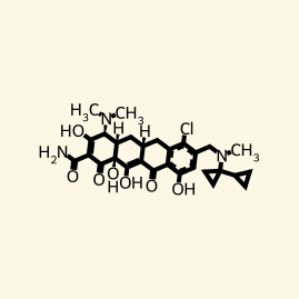 CN(C)[C@@H]1C(O)=C(C(N)=O)C(=O)[C@@]2(O)C(O)=C3C(=O)c4c(O)cc(CN(C)C5(C6CC6)CC5)c(Cl)c4C[C@H]3C[C@@H]12